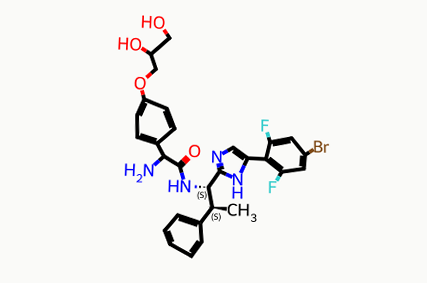 C[C@@H](c1ccccc1)[C@H](NC(=O)C(N)c1ccc(OCC(O)CO)cc1)c1ncc(-c2c(F)cc(Br)cc2F)[nH]1